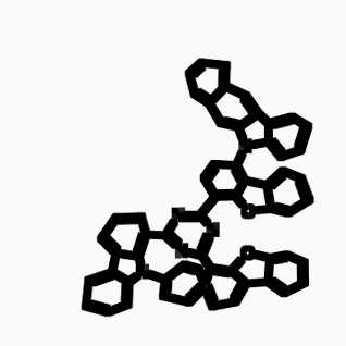 c1ccc(-n2c3ccccc3c3cccc(-c4nc(-c5cccc6c5oc5ccccc56)nc(-c5ccc(-n6c7ccccc7c7cc8ccccc8cc76)c6c5oc5ccccc56)n4)c32)cc1